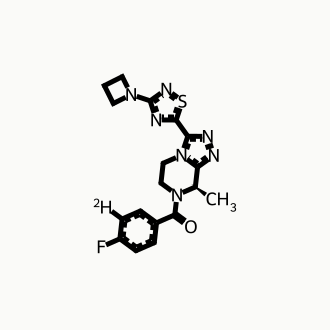 [2H]c1cc(C(=O)N2CCn3c(-c4nc(N5CCC5)ns4)nnc3[C@H]2C)ccc1F